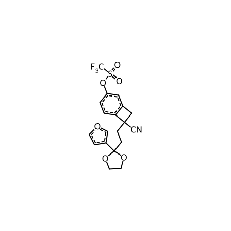 N#CC1(CCC2(c3ccoc3)OCCO2)Cc2cc(OS(=O)(=O)C(F)(F)F)ccc21